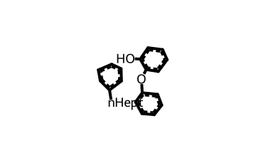 CCCCCCCc1ccccc1.Oc1ccccc1Oc1ccccc1